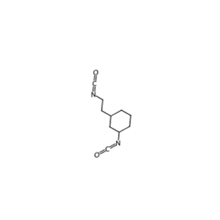 O=C=NCCC1CCCC(N=C=O)C1